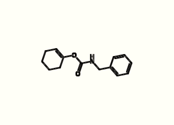 O=C(NCc1ccccc1)OC1=CCCCC1